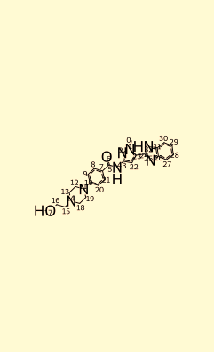 Cn1nc(NC(=O)c2ccc(N3CCN(CCO)CC3)cc2)cc1-c1nc2ccccc2[nH]1